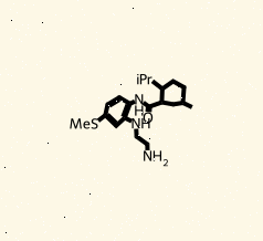 CSc1ccc(NC(=O)C2CC(C)CCC2C(C)C)c(NCCN)c1